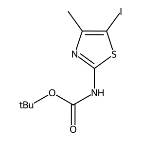 Cc1nc(NC(=O)OC(C)(C)C)sc1I